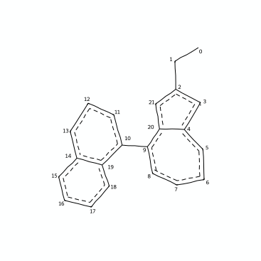 CCc1[c]c2ccccc(-c3cccc4ccccc34)c-2c1